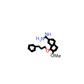 COc1ccc2ccc(C(=N)N)cc2c1OCCCc1ccccc1